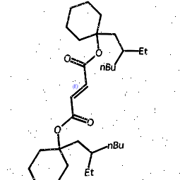 CCCCC(CC)CC1(OC(=O)/C=C/C(=O)OC2(CC(CC)CCCC)CCCCC2)CCCCC1